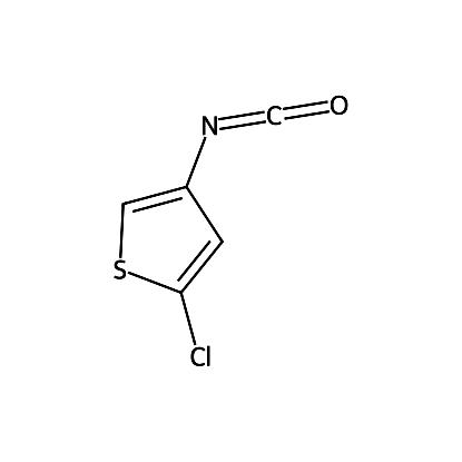 O=C=Nc1csc(Cl)c1